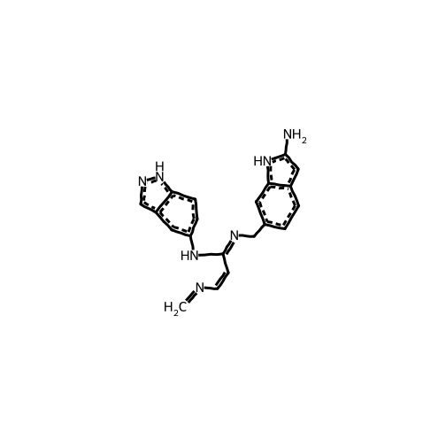 C=N/C=C\C(=N/Cc1ccc2cc(N)[nH]c2c1)Nc1ccc2[nH]ncc2c1